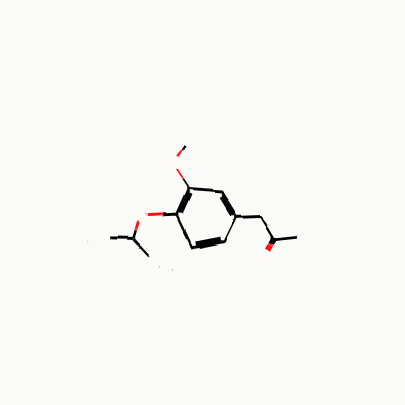 COc1cc(CC(C)=O)ccc1OC(C)C